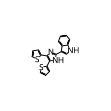 c1csc(-c2nc(-c3c[nH]c4ccccc34)[nH]c2-c2cccs2)c1